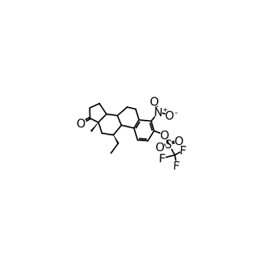 CC[C@H]1C[C@]2(C)C(=O)CCC2C2CCc3c(ccc(OS(=O)(=O)C(F)(F)F)c3[N+](=O)[O-])C21